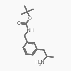 CC(N)Cc1cccc(CNC(=O)OC(C)(C)C)c1